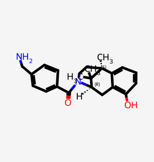 CC1(C)[C@H]2Cc3c(O)cccc3[C@]1(C)CCN2C(=O)c1ccc(CN)cc1